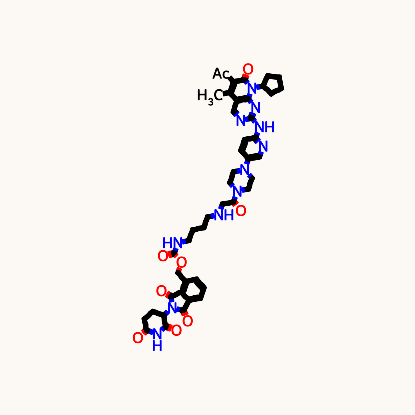 CC(=O)c1c(C)c2cnc(Nc3ccc(N4CCN(C(=O)CNCCCCNC(=O)OCc5cccc6c5C(=O)N(C5CCC(=O)NC5=O)C6=O)CC4)cn3)nc2n(C2CCCC2)c1=O